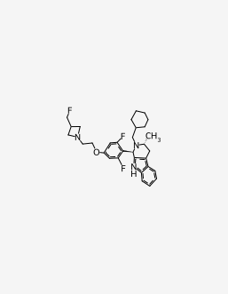 C[C@@H]1Cc2c([nH]c3ccccc23)[C@@H](c2c(F)cc(OCCN3CC(CF)C3)cc2F)N1CC1CCCCC1